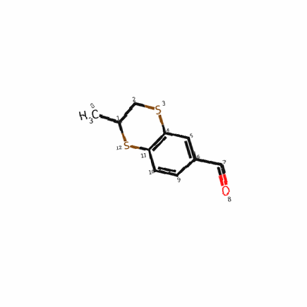 CC1CSc2cc(C=O)ccc2S1